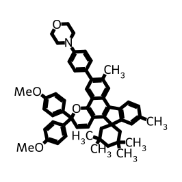 COc1ccc(C2(c3ccc(OC)cc3)C=Cc3c4c(c5cc(C)c(-c6ccc(N7CCOCC7)cc6)cc5c3O2)-c2ccc(C)cc2C42CC(C)(C)CC(C)(C)C2)cc1